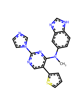 CN(c1ccc2[nH]cnc2c1)c1nc(-n2ccnc2)ncc1-c1cccs1